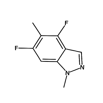 Cc1c(F)cc2c(cnn2C)c1F